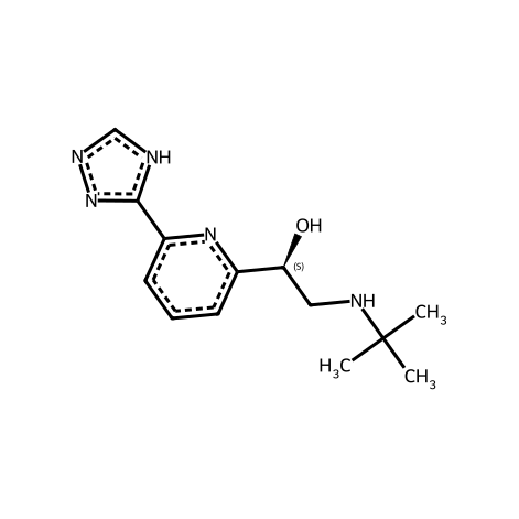 CC(C)(C)NC[C@H](O)c1cccc(-c2nnc[nH]2)n1